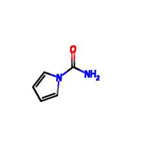 NC(=O)n1cccc1